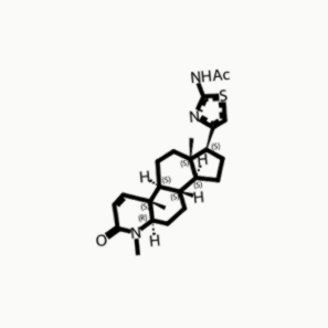 CC(=O)Nc1nc([C@H]2CC[C@H]3[C@@H]4CC[C@H]5N(C)C(=O)C=C[C@]5(C)[C@H]4CC[C@]23C)cs1